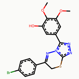 COc1cc(-c2nnc3n2N=C(c2ccc(Br)cc2)CS3)cc(O)c1OC